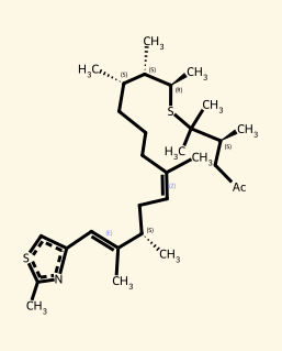 CC(=O)C[C@H](C)C(C)(C)S[C@H](C)[C@@H](C)[C@@H](C)CCC/C(C)=C\C[C@H](C)/C(C)=C/c1csc(C)n1